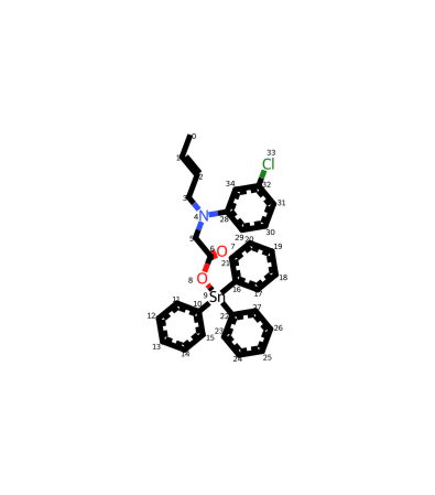 C/C=C/CN(CC(=O)[O][Sn]([c]1ccccc1)([c]1ccccc1)[c]1ccccc1)c1cccc(Cl)c1